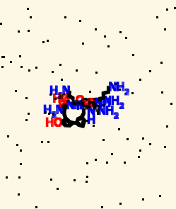 CN1C(=O)[C@H](C[C@@H](O)CN)NC(=O)[C@@H](N)Cc2cc(ccc2O)-c2cccc(c2)C[C@H]1C(=O)N[C@@H](CN)C(=O)NC[C@@H](N)CCCN